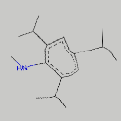 CNc1c(C(C)C)cc(C(C)C)cc1C(C)C